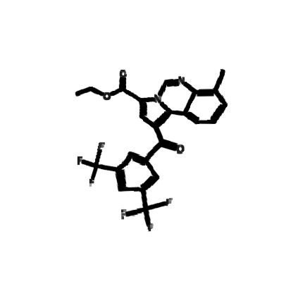 CCOC(=O)c1cc(C(=O)c2cc(C(F)(F)F)cc(C(F)(F)F)c2)c2c3cccc(C)c3ncn12